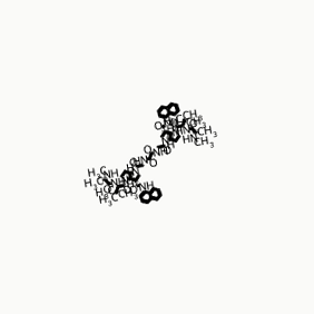 CN[C@@H](C)C(=O)NC(C(=O)N1CC[C@@H]2[C@H]1[C@@H](C(=O)Nc1cccc3ccccc13)CN2C(=O)CNC(=O)C(=O)NCC(=O)N1C[C@H](C(=O)Nc2cccc3ccccc23)[C@@H]2[C@H]1CCN2C(=O)C(NC(=O)[C@H](C)NC)C(C)(C)C)C(C)(C)C